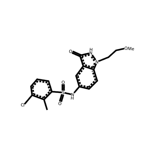 COCCn1[nH]c(=O)c2cc(NS(=O)(=O)c3cccc(Cl)c3C)ccc21